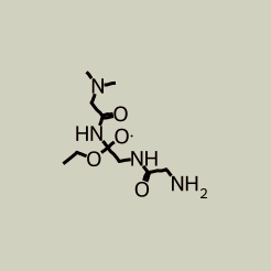 CCOC([O])(CNC(=O)CN)NC(=O)CN(C)C